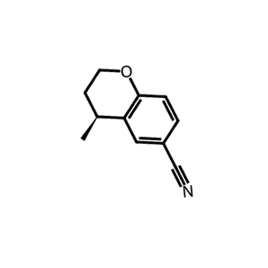 C[C@H]1CCOc2ccc(C#N)cc21